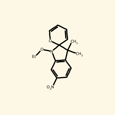 CCON1c2cc([N+](=O)[O-])ccc2C(C)(C)C12C=CC=CO2